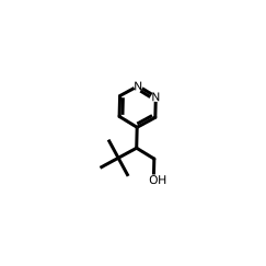 CC(C)(C)C(CO)c1ccnnc1